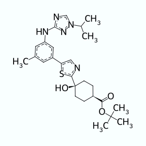 Cc1cc(Nc2ncn(C(C)C)n2)cc(-c2cnc([C@]3(O)CC[C@@H](C(=O)OC(C)(C)C)CC3)s2)c1